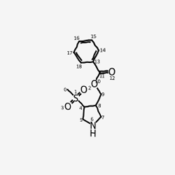 CS(=O)(=O)C1CNCC1COC(=O)c1ccccc1